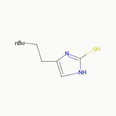 CCCCCCc1c[nH]c(S)n1